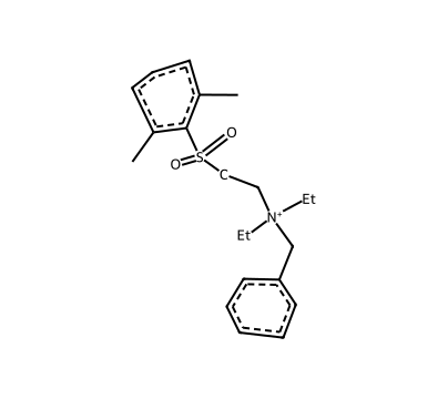 CC[N+](CC)(CCS(=O)(=O)c1c(C)cccc1C)Cc1ccccc1